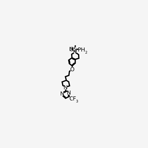 C[SH](=O)(P)N1CCc2cc(OCCCC3CCN(c4nccc(C(F)(F)F)n4)CC3)ccc2C1